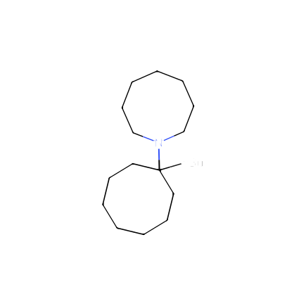 CCCCC1(N2CCCCCCC2)CCCCCCC1